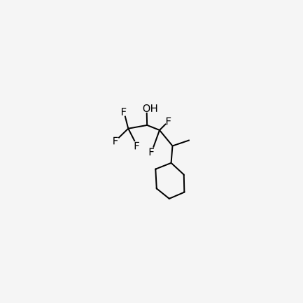 CC(C1CCCCC1)C(F)(F)C(O)C(F)(F)F